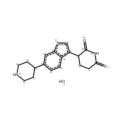 Cl.O=C1CCC(c2csc3cc(C4CCNCC4)ccc23)C(=O)N1